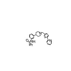 CC(C)C(=O)Nc1cccc(C2CCN(Cc3ccc(-c4ccccn4)s3)CC2)c1